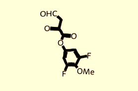 COc1c(F)cc(OC(=O)C(=O)CC=O)cc1F